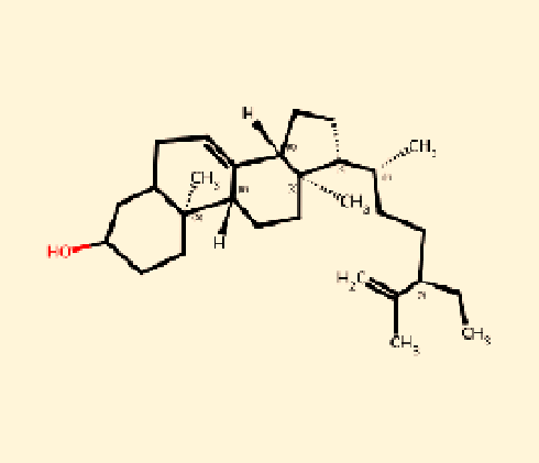 C=C(C)[C@H](CC)CC[C@@H](C)[C@H]1CC[C@H]2C3=CCC4CC(O)CC[C@]4(C)[C@H]3CC[C@]12C